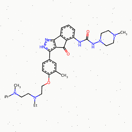 CCN(CCOc1ccc(-c2[nH]nc3c2C(=O)c2c(NC(=O)NN4CCN(C)CC4)cccc2-3)cc1C)CCN(C)C(C)C